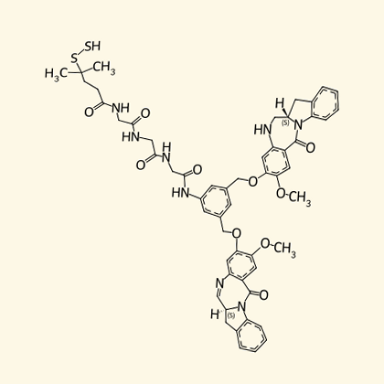 COc1cc2c(cc1OCc1cc(COc3cc4c(cc3OC)C(=O)N3c5ccccc5C[C@H]3CN4)cc(NC(=O)CNC(=O)CNC(=O)CNC(=O)CCC(C)(C)SS)c1)N=C[C@@H]1Cc3ccccc3N1C2=O